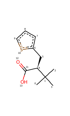 CC(C)(C)[C@H](Cc1cccs1)C(=O)O